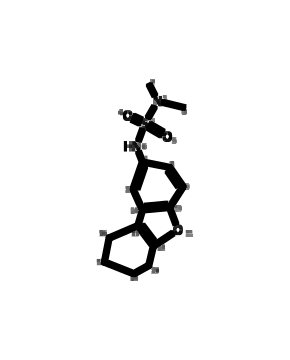 CN(C)S(=O)(=O)Nc1ccc2oc3c(c2c1)CCCC3